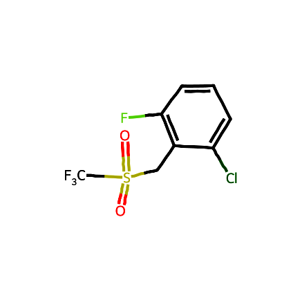 O=S(=O)(Cc1c(F)cccc1Cl)C(F)(F)F